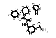 NC(=O)c1cncc(NC(=O)C(=O)N2C[C@@H](c3ccn[nH]3)CC[C@@H]2c2ccccc2)c1